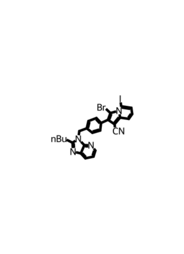 CCCCc1nc2cccnc2n1Cc1ccc(-c2c(C#N)c3cccc(I)n3c2Br)cc1